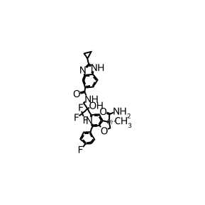 C[C@]1(C(N)=O)COc2c1cc(C(O)(CNC(=O)c1ccc3[nH]c(C4CC4)nc3c1)C(F)(F)F)nc2-c1ccc(F)cc1